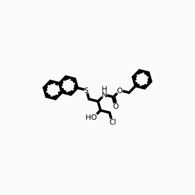 O=C(NC(CSc1ccc2ccccc2c1)C(O)CCl)OCc1ccccc1